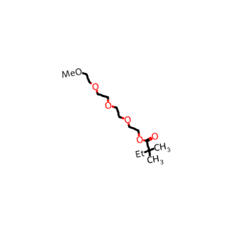 CCC(C)(C)C(=O)OCCOCCOCCOCCOC